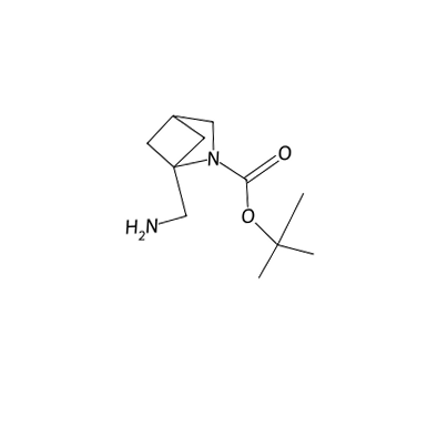 CC(C)(C)OC(=O)N1CC2CC1(CN)C2